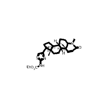 CCOC(=O)Nc1nc(C2CC[C@H]3[C@@H]4CCC5N(C)C(=O)C=C[C@]5(C)[C@@H]4CC[C@]23C)cs1